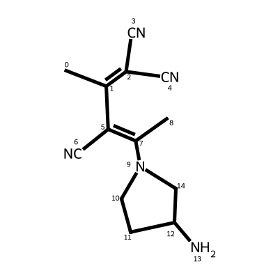 CC(=C(C#N)C#N)/C(C#N)=C(\C)N1CCC(N)C1